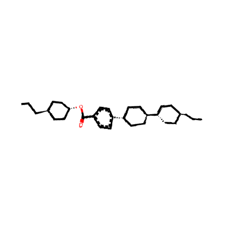 CCC[C@H]1CC[C@H](OC(=O)c2ccc([C@H]3CC[C@H]([C@H]4CC[C@H](CCC)CC4)CC3)cc2)CC1